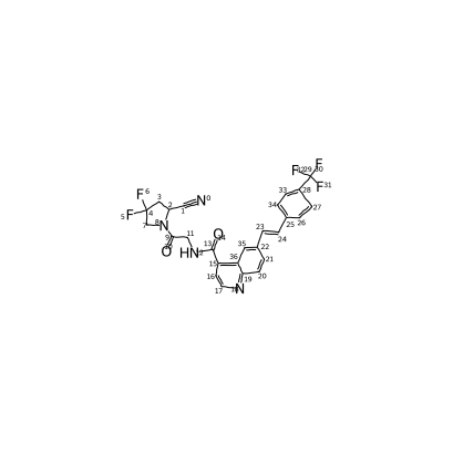 N#CC1CC(F)(F)CN1C(=O)CNC(=O)c1ccnc2ccc(C=Cc3ccc(C(F)(F)F)cc3)cc12